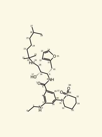 CCNc1cc(C(=O)N[C@@H](Cc2ccco2)[C@H](O)CNC(C)(C)CCCC(C)C)cc(N2CCCCS2(=O)=O)c1